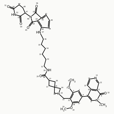 COc1cc(-c2cn(C)c(=O)c3cnccc23)cc(OC)c1CN1CC2(CC(C(=O)NCCCCCCNc3cccc4c3C(=O)N(C3CCC(=O)NC3=O)C4=O)C2)C1